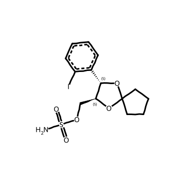 NS(=O)(=O)OC[C@@H]1OC2(CCCC2)O[C@H]1c1ccccc1I